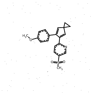 COc1ccc(C2=CC3(C=C2c2ccc(S(C)(=O)=O)cn2)CC3)cc1